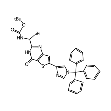 CC(C)C(NC(=O)OC(C)(C)C)c1nc2cc(-c3cn(C(c4ccccc4)(c4ccccc4)c4ccccc4)cn3)sc2c(=O)[nH]1